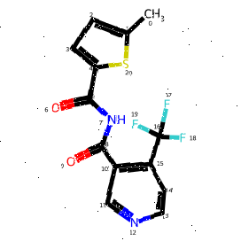 Cc1ccc(C(=O)NC(=O)c2cnccc2C(F)(F)F)s1